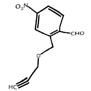 C#CCOCc1cc([N+](=O)[O-])ccc1C=O